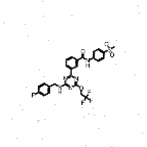 CS(=O)(=O)c1ccc(NC(=O)c2cccc(-c3nc(NCc4ccc(F)cc4)nc(OCC(F)(F)F)n3)c2)cc1